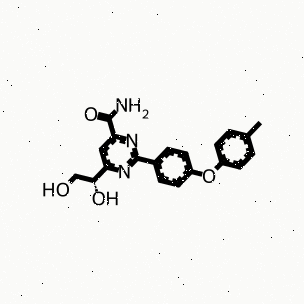 Cc1ccc(Oc2ccc(-c3nc(C(N)=O)cc([C@H](O)CO)n3)cc2)cc1